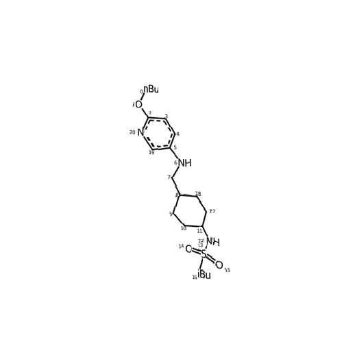 CCCCOc1ccc(NCC2CCC(NS(=O)(=O)C(C)CC)CC2)cn1